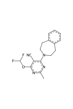 Cc1nc(OC(F)F)c(C#N)c(N2CCc3ccccc3CC2)n1